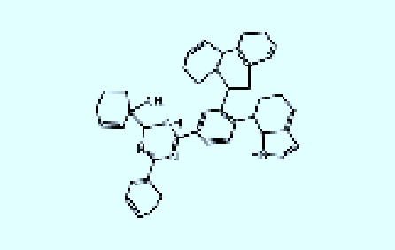 CC1(C2N=C(C3=CC=CCC3)N=C(c3ccc(C4CCC=C5C=CNC54)c(C4CC5=C(CCC=C5)C5C=CCCC54)c3)N2)C=CCCC1